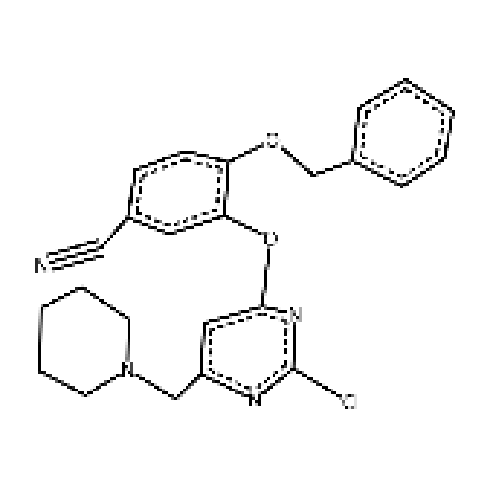 N#Cc1ccc(OCc2ccccc2)c(Oc2cc(CN3CCCCC3)nc(Cl)n2)c1